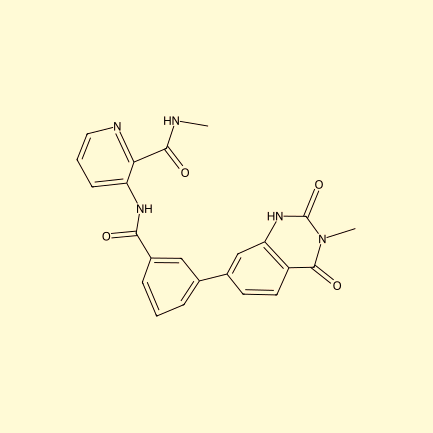 CNC(=O)c1ncccc1NC(=O)c1cccc(-c2ccc3c(=O)n(C)c(=O)[nH]c3c2)c1